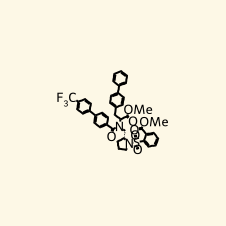 COC(=O)c1ccccc1S(=O)(=O)N1CCC[C@@H]1CN(C(=O)c1ccc(-c2ccc(C(F)(F)F)cc2)cc1)C(Cc1ccc(-c2ccccc2)cc1)C(=O)OC